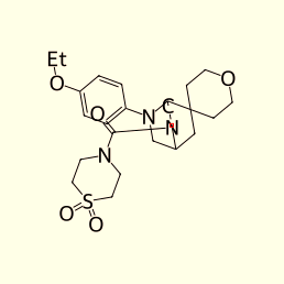 CCOc1ccc(N2CC3CN(C(=O)N4CCS(=O)(=O)CC4)CC2C2(CCOCC2)C3)cc1